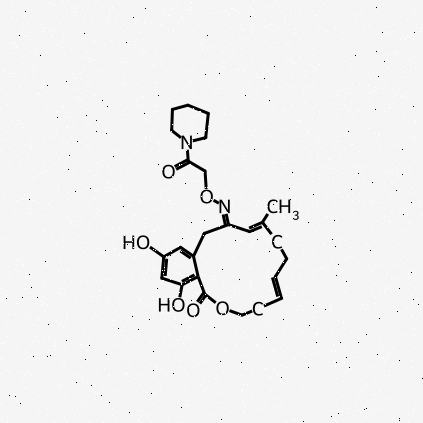 C/C1=C\C(=NOCC(=O)N2CCCCC2)Cc2cc(O)cc(O)c2C(=O)OCC/C=C/CC1